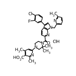 Cc1cccc(Cn2cc(-c3ccc(Cl)c(F)c3)c3ccc(C(=O)N4CCN(c5cc(C)c(C(=O)O)c(C)n5)CC4(C)C)nc32)n1.Cl